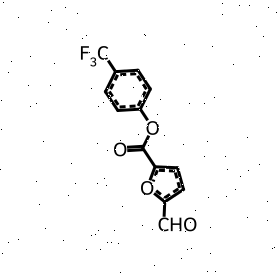 O=Cc1ccc(C(=O)Oc2ccc(C(F)(F)F)cc2)o1